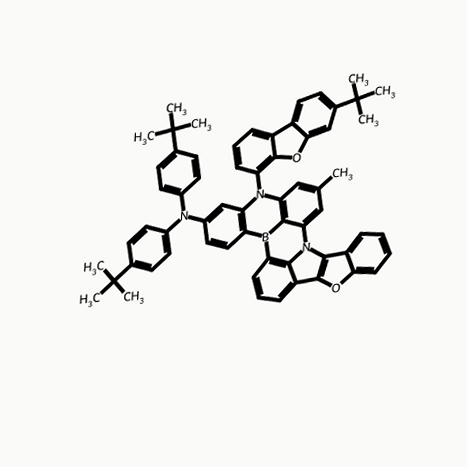 Cc1cc2c3c(c1)-n1c4c(cccc4c4oc5ccccc5c41)B3c1ccc(N(c3ccc(C(C)(C)C)cc3)c3ccc(C(C)(C)C)cc3)cc1N2c1cccc2c1oc1cc(C(C)(C)C)ccc12